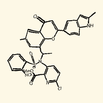 COC(=O)c1nc(Cl)ccc1N(C(C)c1cc(C)cc2c(=O)cc(-c3ccc4[nH]c(C)cc4c3)oc12)S(=O)(=O)c1ccccc1[N+](=O)[O-]